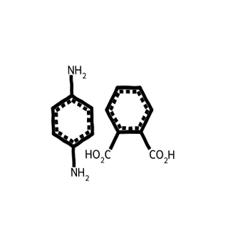 Nc1ccc(N)cc1.O=C(O)c1ccccc1C(=O)O